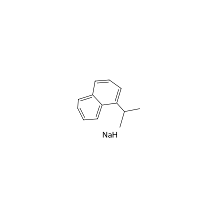 CC(C)c1cccc2ccccc12.[NaH]